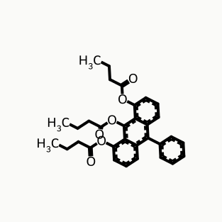 CCCC(=O)Oc1cccc2c(-c3ccccc3)c3cccc(OC(=O)CCC)c3c(OC(=O)CCC)c12